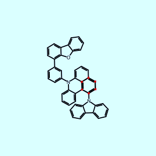 c1cc(-c2cccc3c2oc2ccccc23)cc(N(c2ccccc2-c2ccccc2-n2c3ccccc3c3ccccc32)c2cccc3ccccc23)c1